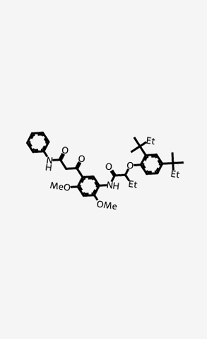 CCC(Oc1ccc(C(C)(C)CC)cc1C(C)(C)CC)C(=O)Nc1cc(C(=O)CC(=O)Nc2ccccc2)c(OC)cc1OC